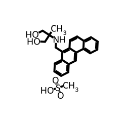 CC(CO)(CO)NCc1c2ccccc2cc2c1ccc1ccccc12.CS(=O)(=O)O